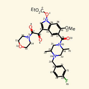 CCOC(=O)On1cc(C(=O)C(=O)N2CCOCC2)c2cc(C(=O)N3CC(C)N(Cc4ccc(F)cc4)CC3C)c(OC)cc21